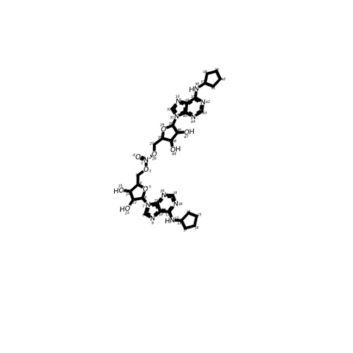 O=[N+](OCC1OC(n2cnc3c(NC4CCCC4)ncnc32)C(O)C1O)OCC1OC(n2cnc3c(NC4CCCC4)ncnc32)C(O)C1O